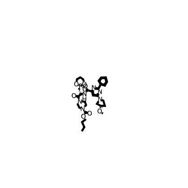 CCCCOC(=O)N1CCN(C(=O)[C@H](CP2(=O)OCCCO2)NC(=O)c2cc(N3CC[C@H](OC)C3)nc(-c3ccccc3)n2)CC1